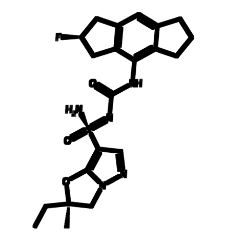 CC[C@]1(C)Cn2ncc([S@](N)(=O)=NC(=O)Nc3c4c(cc5c3C[C@@H](F)C5)CCC4)c2O1